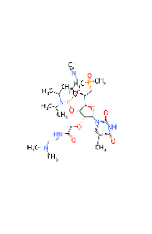 [C-]#[N+]CCOP(O[C@H]1[C@@H](OCC(=O)NCCN(C)C)[C@H](n2cc(C)c(=O)[nH]c2=O)O[C@@H]1[C@@H](C)CP(C)(C)=O)N(C(C)C)C(C)C